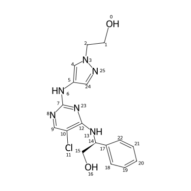 OCCn1cc(Nc2ncc(Cl)c(N[C@H](CO)c3ccccc3)n2)cn1